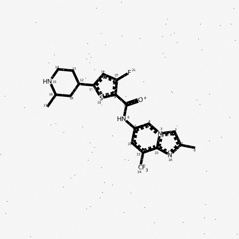 Cc1cn2cc(NC(=O)c3sc(C4CCNC(C)C4)cc3F)cc(C(F)(F)F)c2n1